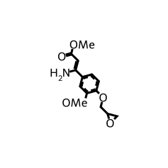 COC(=O)C=C(N)c1ccc(OCC2CO2)c(OC)c1